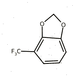 FC(F)(F)c1c[c]cc2c1OCO2